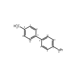 CCCc1ccc(-c2ccc(C)cn2)cc1